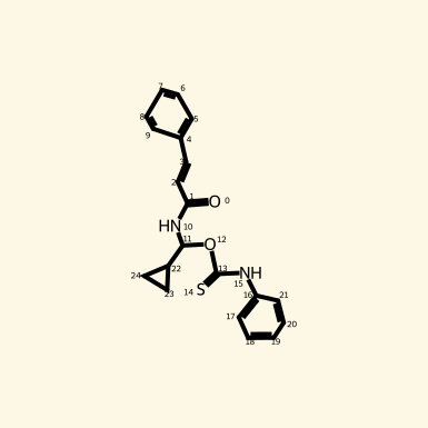 O=C(/C=C/c1ccccc1)NC(OC(=S)Nc1ccccc1)C1CC1